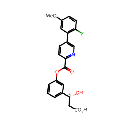 COc1ccc(F)c(-c2ccc(C(=O)Oc3cccc([C@H](O)CC(=O)O)c3)nc2)c1